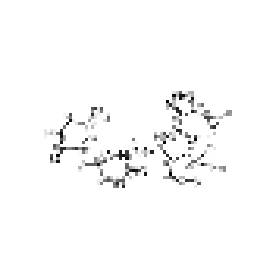 O=C(N[C@H](c1cn2nc(C[C@H]3C[C@@H](C(F)(F)F)CNC3=O)cnc2n1)[C@@H]1CCCC(F)(F)C1)c1nonc1C1CC1